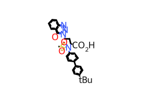 CC(C)(C)c1ccc(-c2ccc(N(C(CCn3nnc4ccccc4c3=O)C(=O)O)S(C)(=O)=O)cc2)cc1